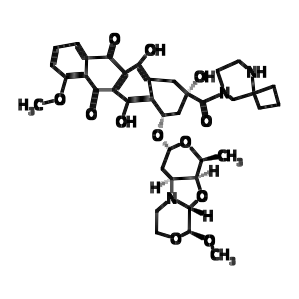 COc1cccc2c1C(=O)c1c(O)c3c(c(O)c1C2=O)C[C@@](O)(C(=O)N1CCNC2(CCC2)C1)C[C@@H]3O[C@H]1C[C@H]2[C@H](O[C@@H]3[C@@H](OC)OCCN32)[C@H](C)O1